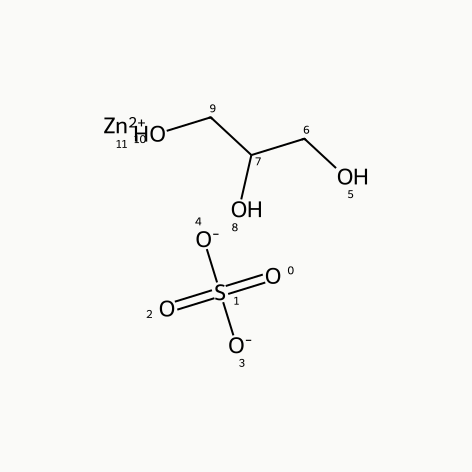 O=S(=O)([O-])[O-].OCC(O)CO.[Zn+2]